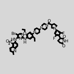 CCOc1cc(N2CCC(N3CCN(C(=O)C4CCN(c5cc(F)c(C6CCC(=O)NC6=O)c(F)c5)C4)CC3)CC2)c(CC)cc1Nc1ncc(Br)c(Nc2ccc3nc(C)ccc3c2P(C)(C)=O)n1